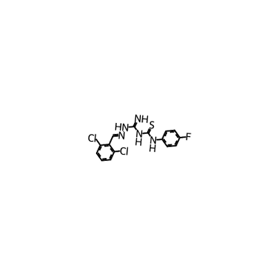 N=C(N/N=C/c1c(Cl)cccc1Cl)NC(=S)Nc1ccc(F)cc1